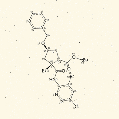 CC[C@@]1(C(=O)Nc2nnc(Cl)cc2Br)C[C@@H](OCc2ccccc2)CN1C(=O)OC(C)(C)C